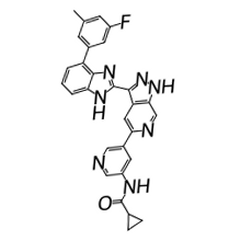 Cc1cc(F)cc(-c2cccc3[nH]c(-c4n[nH]c5cnc(-c6cncc(NC(=O)C7CC7)c6)cc45)nc23)c1